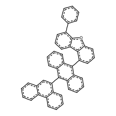 c1ccc(-c2cccc3c2oc2cccc(-c4c5ccccc5c(-c5cc6ccccc6c6ccccc56)c5ccccc45)c23)cc1